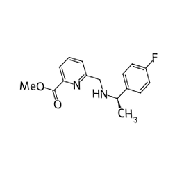 COC(=O)c1cccc(CN[C@H](C)c2ccc(F)cc2)n1